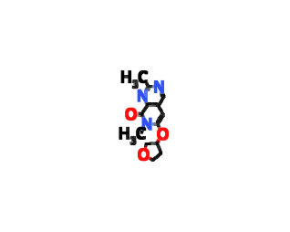 Cc1ncc2cc(O[C@H]3CCOC3)n(C)c(=O)c2n1